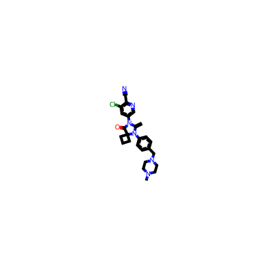 C=C1N(c2cnc(C#N)c(Cl)c2)C(=O)C2(CCC2)N1c1ccc(CN2CCN(C)CC2)cc1